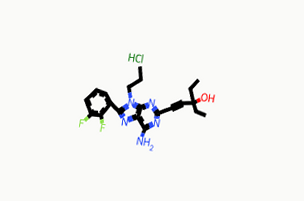 CCCn1c(-c2cccc(F)c2F)nc2c(N)nc(C#CC(O)(CC)CC)nc21.Cl